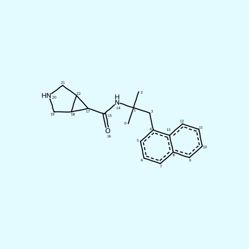 CC(C)(Cc1cccc2ccccc12)NC(=O)C1C2CNCC21